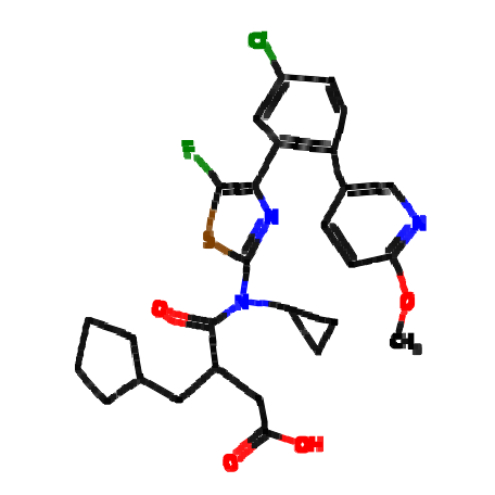 COc1ccc(-c2ccc(Cl)cc2-c2nc(N(C(=O)C(CC(=O)O)CC3CCCC3)C3CC3)sc2F)cn1